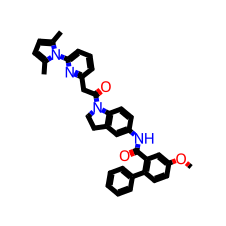 COc1ccc(-c2ccccc2)c(C(=O)Nc2ccc3c(c2)CCN3C(=O)Cc2cccc(-n3c(C)ccc3C)n2)c1